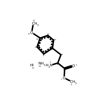 COC(=O)C(N)Cc1ccc(OC)cc1.I.N